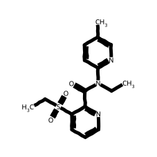 CCN(C(=O)c1ncccc1S(=O)(=O)CC)c1ccc(C)cn1